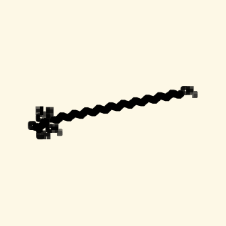 CCCCCCCCCCCCCCCCCCCCCCNC(C)(C)C(=O)O